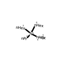 CCCCCC[N+](CCC)(CCCCCC)CCCCCC.[OH-]